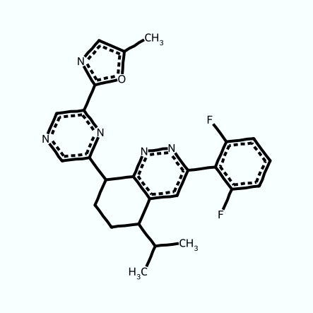 Cc1cnc(-c2cncc(C3CCC(C(C)C)c4cc(-c5c(F)cccc5F)nnc43)n2)o1